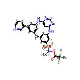 Cc1cc(Nc2cc(Nc3cccc(S(=O)(=O)N(C)OC(=O)C(F)(F)F)c3)ncn2)cc(-c2cccnc2)c1